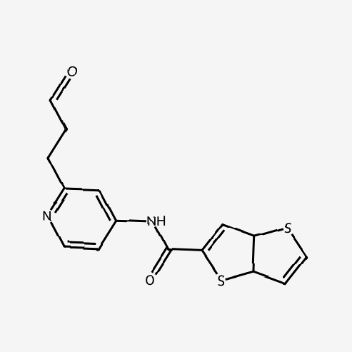 O=CCCc1cc(NC(=O)C2=CC3SC=CC3S2)ccn1